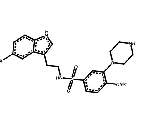 COc1ccc(S(=O)(=O)NCCc2c[nH]c3ccc(Br)cc23)cc1N1CCNCC1